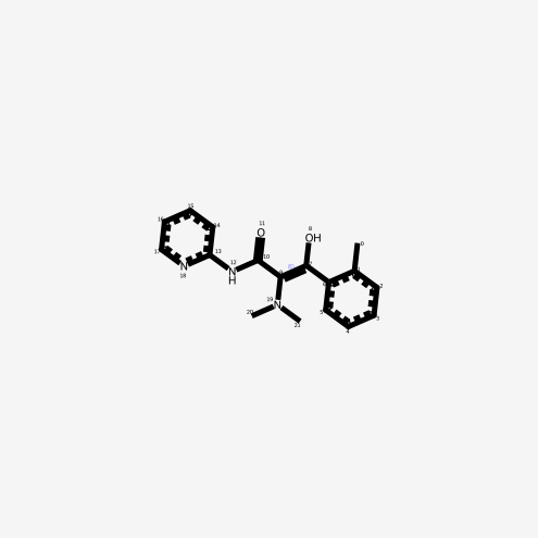 Cc1ccccc1/C(O)=C(/C(=O)Nc1ccccn1)N(C)C